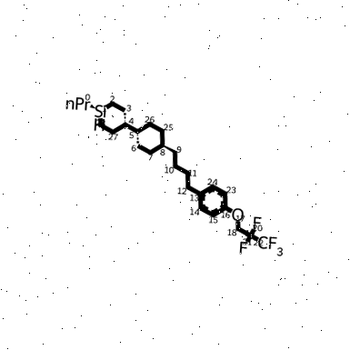 CCC[Si@H]1CC[C@H]([C@H]2CC[C@H](CCCCc3ccc(OCC(F)(F)C(F)(F)F)cc3)CC2)CC1